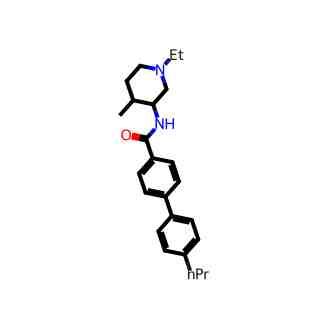 CCCc1ccc(-c2ccc(C(=O)NC3CN(CC)CCC3C)cc2)cc1